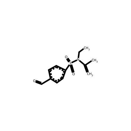 C=C(C)N(CC)S(=O)(=O)c1ccc(C=O)cc1